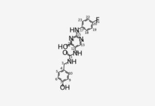 O=C(N[CH]c1ccc(O)cc1)Nc1cnc(Nc2ccc(F)cc2)nc1O